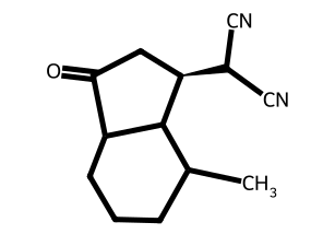 CC1CCCC2C(=O)C[C@@H](C(C#N)C#N)C12